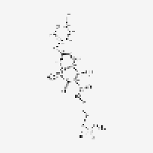 CCOP(=O)(O)CCCCNC(=O)c1c(O)c2ncc(Cc3ccc(F)cc3)cc2n(C)c1=O